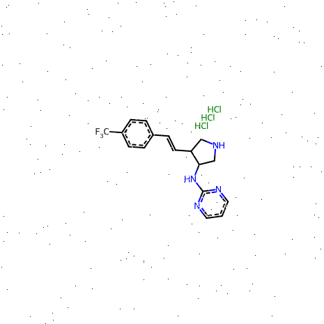 Cl.Cl.Cl.FC(F)(F)c1ccc(/C=C/C2CNCC2Nc2ncccn2)cc1